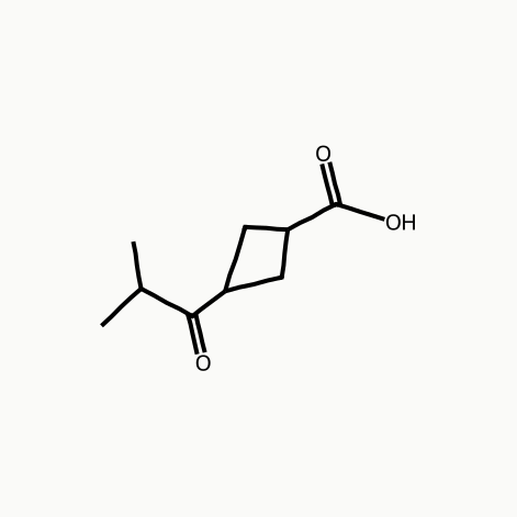 CC(C)C(=O)C1CC(C(=O)O)C1